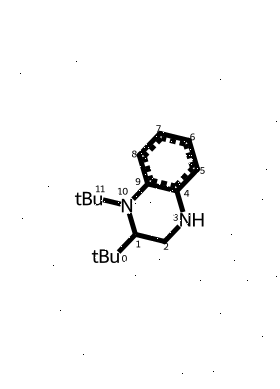 CC(C)(C)C1CNc2ccccc2N1C(C)(C)C